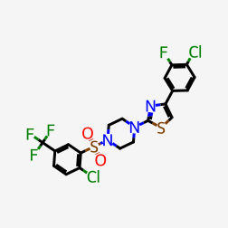 O=S(=O)(c1cc(C(F)(F)F)ccc1Cl)N1CCN(c2nc(-c3ccc(Cl)c(F)c3)cs2)CC1